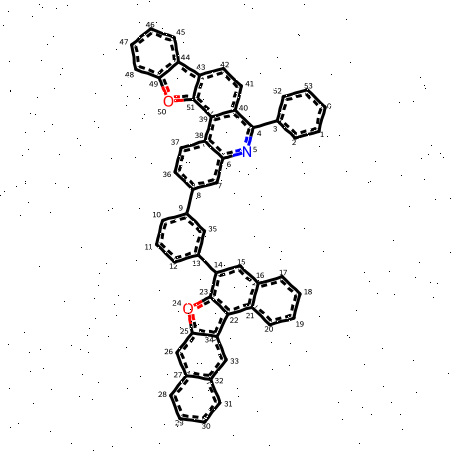 c1ccc(-c2nc3cc(-c4cccc(-c5cc6ccccc6c6c5oc5cc7ccccc7cc56)c4)ccc3c3c2ccc2c4ccccc4oc23)cc1